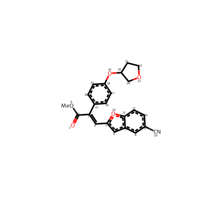 COC(=O)C(=Cc1cc2cc(C#N)ccc2o1)c1ccc(OC2CCOC2)cc1